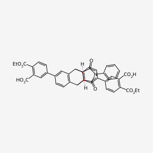 CCOC(=O)c1ccc(-c2ccc3c(c2)C2c4ccc(-c5ccc(C(=O)OCC)c(C(=O)O)c5)cc4C3[C@@H]3C(=O)N(c4ccccc4)C(=O)[C@H]23)cc1C(=O)O